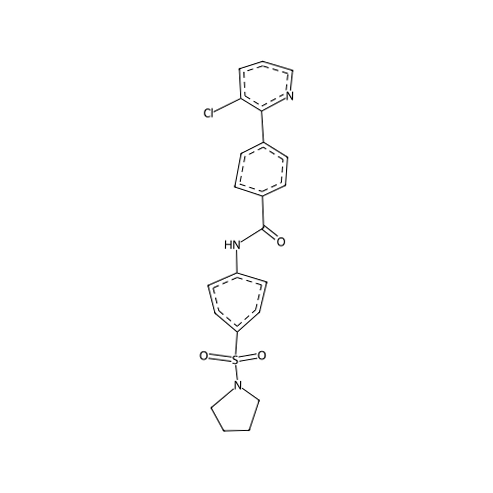 O=C(Nc1ccc(S(=O)(=O)N2CCCC2)cc1)c1ccc(-c2ncccc2Cl)cc1